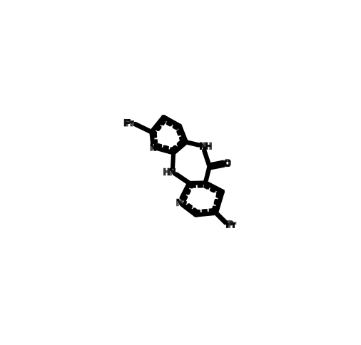 CC(C)c1cnc2c(c1)C(=O)Nc1ccc(C(C)C)nc1N2